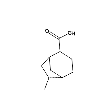 CC1CC2CC1CCC2C(=O)O